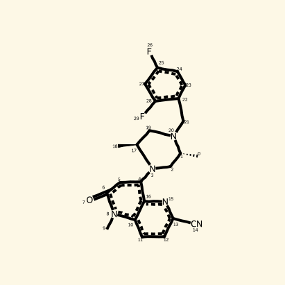 C[C@@H]1CN(c2cc(=O)n(C)c3ccc(C#N)nc23)[C@@H](C)CN1Cc1ccc(F)cc1F